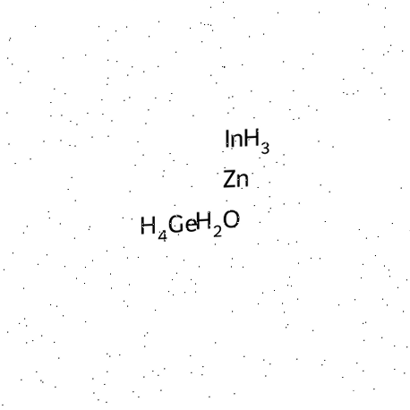 O.[GeH4].[InH3].[Zn]